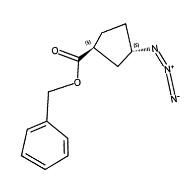 [N-]=[N+]=N[C@H]1CC[C@H](C(=O)OCc2ccccc2)C1